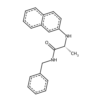 C[C@@H](Nc1ccc2ccccc2c1)C(=O)NCc1ccccc1